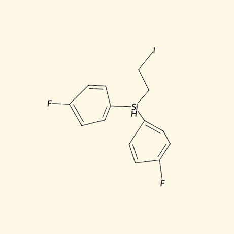 Fc1ccc([SiH](CCI)c2ccc(F)cc2)cc1